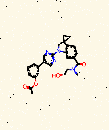 CC(=O)Oc1cccc(-c2cnc(N3CC4(CC4)c4ccc(C(=O)N(C)CCO)cc43)nc2)c1